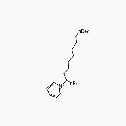 CCCCCCCCCCCCCCCCCC(CCC)[n+]1ccccc1